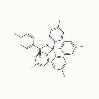 Cc1ccc(C(=O)OP(c2ccc(C)cc2)(c2ccc(C)cc2)(c2ccc(C)cc2)c2ccc(C)cc2)cc1